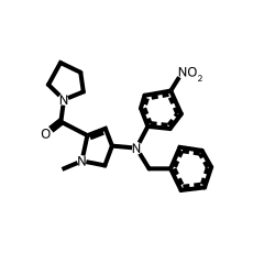 CN1CC(N(Cc2ccccc2)c2ccc([N+](=O)[O-])cc2)C=C1C(=O)N1CCCC1